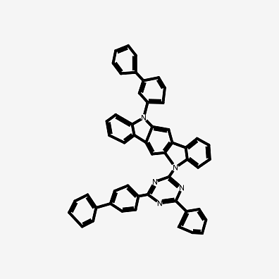 c1ccc(-c2ccc(-c3nc(-c4ccccc4)nc(-n4c5ccccc5c5cc6c(cc54)c4ccccc4n6-c4cccc(-c5ccccc5)c4)n3)cc2)cc1